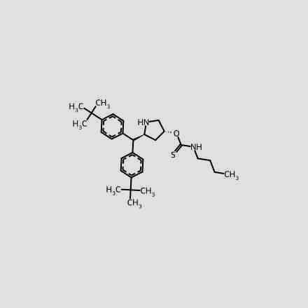 CCCCNC(=S)O[C@H]1CN[C@H](C(c2ccc(C(C)(C)C)cc2)c2ccc(C(C)(C)C)cc2)C1